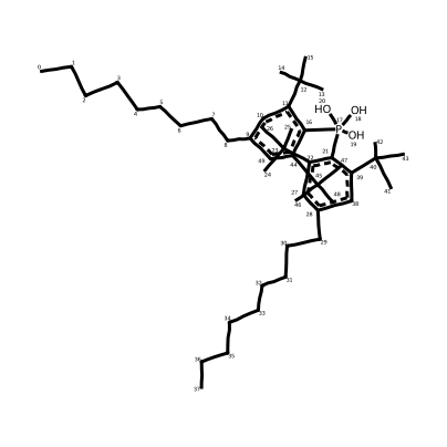 CCCCCCCCCc1cc(C(C)(C)C)c(P(O)(O)(O)c2c(C(C)(C)C)cc(CCCCCCCCC)cc2C(C)(C)C)c(C(C)(C)C)c1